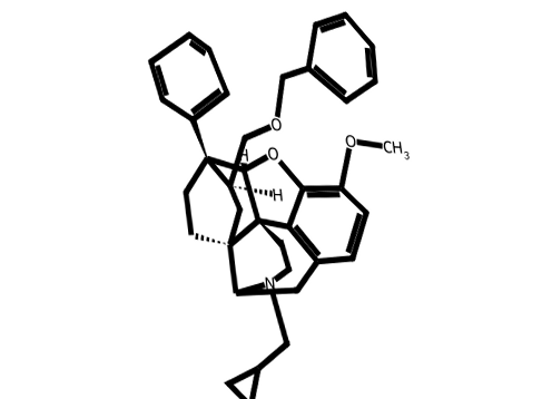 COc1ccc2c3c1O[C@H]1[C@@]4(c5ccccc5)CC[C@@]5(C[C@@H]4COCc4ccccc4)C(C2)N(CC2CC2)CC[C@]315